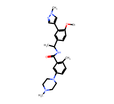 CCOc1ccc(C(C)NC(=O)c2cc(N3CCN(C)CC3)ccc2C)cc1-c1cnn(C)c1